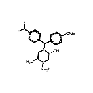 COc1ccc(C(c2ccc(C(F)F)cc2)N2C[C@H](C)N(C(=O)O)C[C@H]2C)cc1